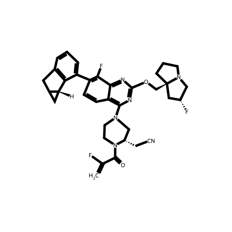 C=C(F)C(=O)N1CCN(c2nc(OC[C@@]34CCCN3C[C@H](F)C4)nc3c(F)c(-c4cccc5c4[C@@H]4CC4C5)ccc23)C[C@@H]1CC#N